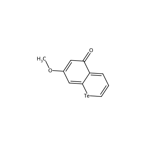 COc1cc2[te]cccc-2c(=O)c1